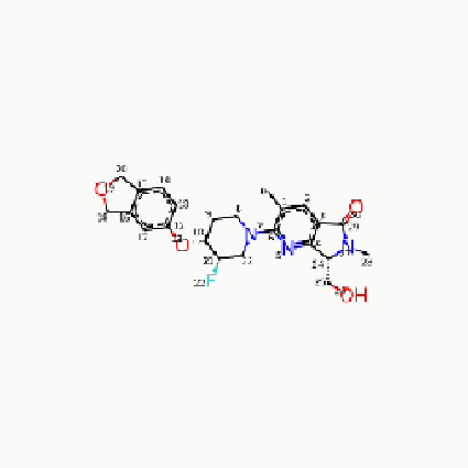 Cc1cc2c(nc1N1CC[C@@H](Oc3ccc4c(c3)COC4)[C@H](F)C1)[C@@H](CO)N(C)C2=O